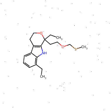 CCc1cccc2c3c([nH]c12)C(CC)(CCOCSC)OCC3